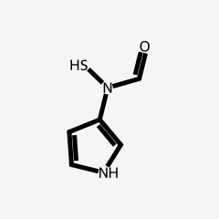 O=CN(S)c1cc[nH]c1